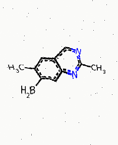 Bc1cc2nc(C)ncc2cc1C